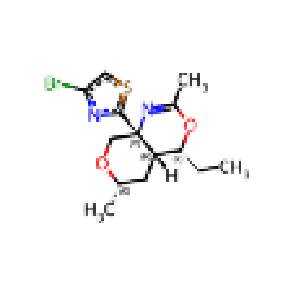 CC[C@H]1OC(C)=N[C@@]2(c3nc(Br)cs3)CO[C@@H](C)C[C@@H]12